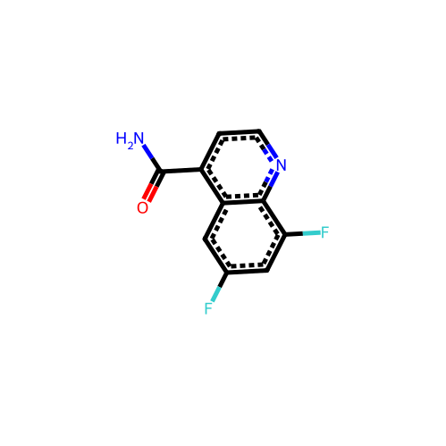 NC(=O)c1ccnc2c(F)cc(F)cc12